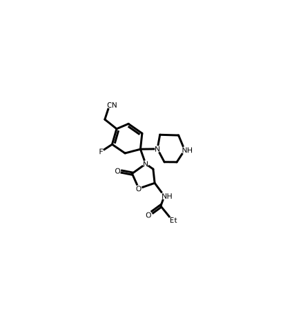 CCC(=O)NC1CN(C2(N3CCNCC3)C=CC(CC#N)=C(F)C2)C(=O)O1